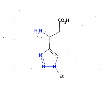 CCn1cc(C(N)CC(=O)O)nn1